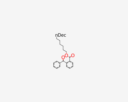 CCCCCCCCCCCCCCCCOC(=O)c1ccccc1C(=O)c1ccccc1